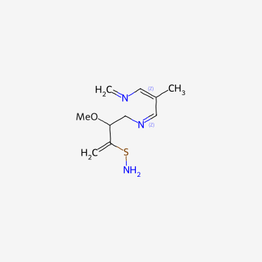 C=N/C=C(C)\C=N/CC(OC)C(=C)SN